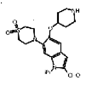 CC(C)n1c(C=O)cc2cc(OC3CCNCC3)c(N3CCS(=O)(=O)CC3)cc21